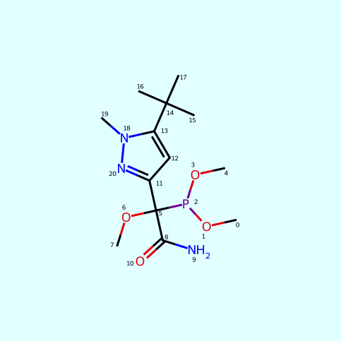 COP(OC)C(OC)(C(N)=O)c1cc(C(C)(C)C)n(C)n1